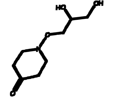 O=C1CCN(OCC(O)CO)CC1